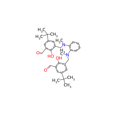 CN(Cc1cc(C(C)(C)C)cc(C=O)c1O)c1ccccc1N(C)Cc1cc(C(C)(C)C)cc(C=O)c1O